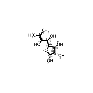 CC(C)=C(O)[C@@H](O)[C@@H]1O[C@@H](O)[C@@H](O)[C@H]1O